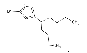 CCCCC(CCCC)c1csc(Br)c1